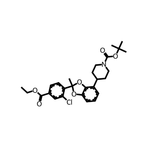 CCOC(=O)c1ccc(C2(C)Oc3cccc(C4CCN(C(=O)OC(C)(C)C)CC4)c3O2)c(Cl)c1